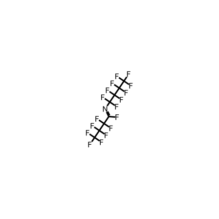 F/C(=N\C(F)(F)C(F)(F)C(F)(F)C(F)(F)F)C(F)(F)C(F)(F)C(F)(F)F